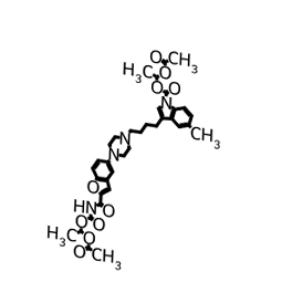 CC(=O)OC(C)OC(=O)NC(=O)c1cc2cc(N3CCN(CCCCc4cn(C(=O)OC(C)OC(C)=O)c5ccc(C)cc45)CC3)ccc2o1